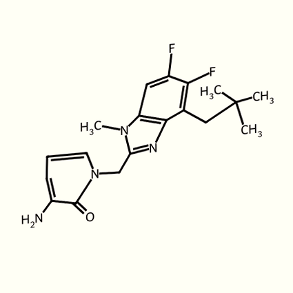 Cn1c(Cn2cccc(N)c2=O)nc2c(CC(C)(C)C)c(F)c(F)cc21